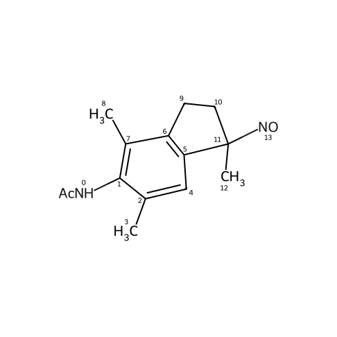 CC(=O)Nc1c(C)cc2c(c1C)CCC2(C)N=O